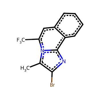 Cc1c(Br)nc2c3ccccc3cc(C(F)(F)F)n12